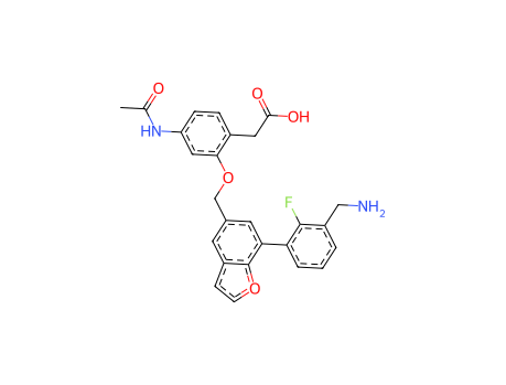 CC(=O)Nc1ccc(CC(=O)O)c(OCc2cc(-c3cccc(CN)c3F)c3occc3c2)c1